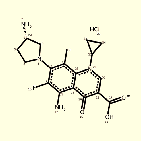 Cc1c(N2CC[C@H](N)C2)c(F)c(N)c2c(=O)c(C(=O)O)cn(C3CC3)c12.Cl